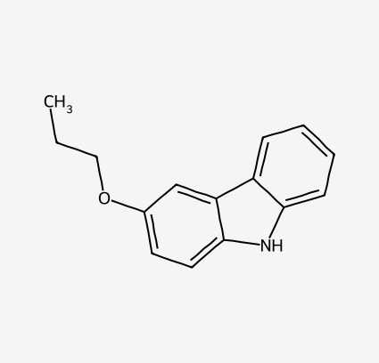 CCCOc1ccc2[nH]c3ccccc3c2c1